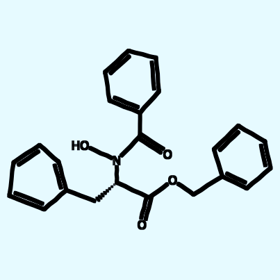 O=C(OCc1ccccc1)[C@H](Cc1ccccc1)N(O)C(=O)c1ccccc1